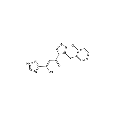 O=C(C=C(O)c1nc[nH]n1)c1cocc1Sc1ccccc1Cl